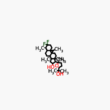 CC1C23CCC(F)(F)[C@H](C)C2CCC2C13CCC1(C)C(C3(C)CCC(C(C)(C)O)O3)C(O)C[C@@]21C